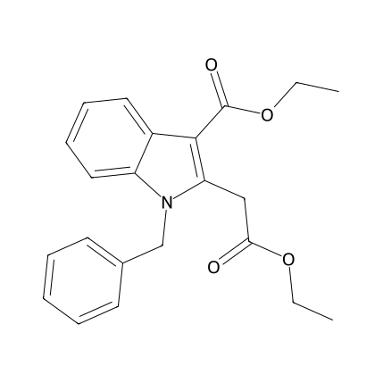 CCOC(=O)Cc1c(C(=O)OCC)c2ccccc2n1Cc1ccccc1